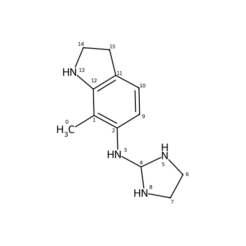 Cc1c(NC2NCCN2)ccc2c1NCC2